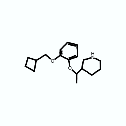 CC(Oc1ccccc1OCC1CCC1)C1CCCNC1